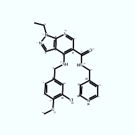 CCn1ncc2c(NCc3ccc(OC)c(Cl)c3)c(C(=O)NCc3ccncc3)cnc21